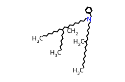 C=C(CCCCCCCCCC)CCCCCCCN(CCCCCCCC(=C)CC(CCCCCCCC)CCCCCCCC)Cc1ccccc1